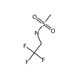 CS(=O)(=O)[N]CC(F)(F)F